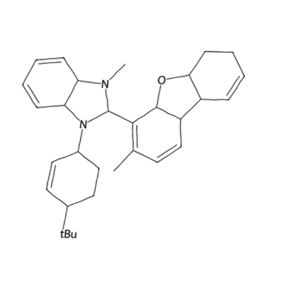 CC1=C(C2N(C)C3C=CC=CC3N2C2C=CC(C(C)(C)C)CC2)C2OC3CCC=CC3C2C=C1